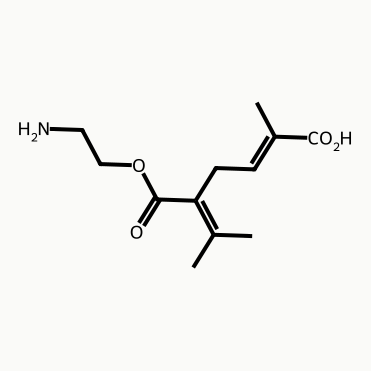 CC(=CCC(C(=O)OCCN)=C(C)C)C(=O)O